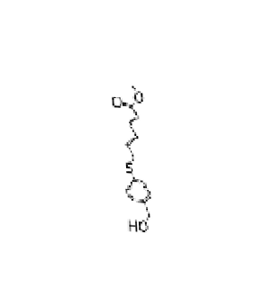 COC(=O)/C=C/C=C/CSc1ccc(CO)cc1